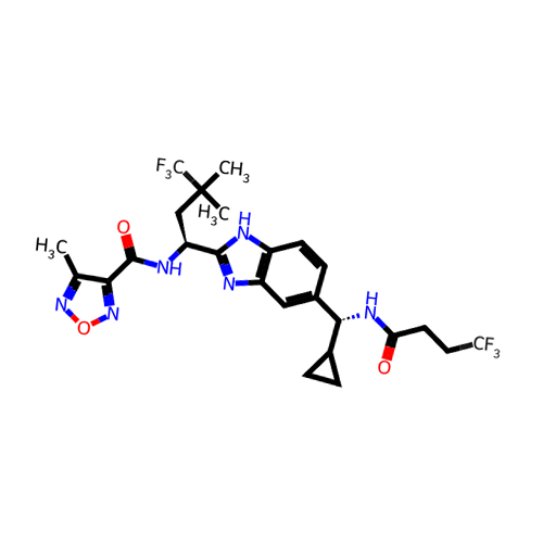 Cc1nonc1C(=O)N[C@@H](CC(C)(C)C(F)(F)F)c1nc2cc([C@H](NC(=O)CCC(F)(F)F)C3CC3)ccc2[nH]1